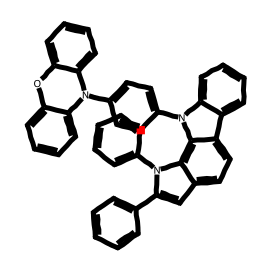 c1ccc(-c2cc3ccc4c5ccccc5n(-c5ccc(N6c7ccccc7Oc7ccccc76)cc5)c4c3n2-c2ccccc2)cc1